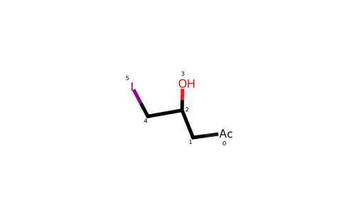 CC(=O)CC(O)CI